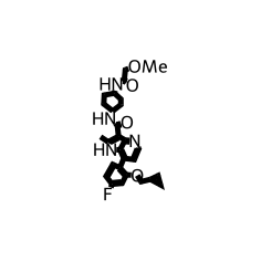 COCC(=O)NC1CCC(NC(=O)c2c(C)[nH]c3c(-c4ccc(F)cc4OCC4CC4)ccnc23)CC1